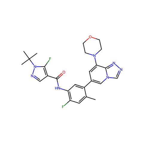 Cc1cc(F)c(NC(=O)c2cnn(C(C)(C)C)c2F)cc1-c1cc(N2CCOCC2)c2nncn2c1